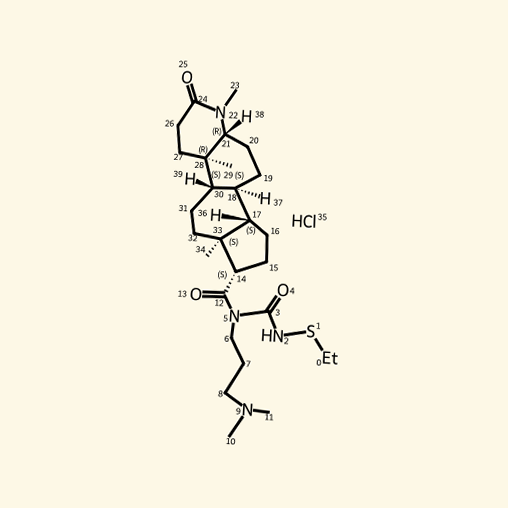 CCSNC(=O)N(CCCN(C)C)C(=O)[C@H]1CC[C@H]2[C@@H]3CC[C@H]4N(C)C(=O)CC[C@]4(C)[C@H]3CC[C@]12C.Cl